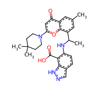 Cc1cc(C(C)Nc2ccc3cn[nH]c3c2C(=O)O)c2oc(N3CCC(C)(C)CC3)cc(=O)c2c1